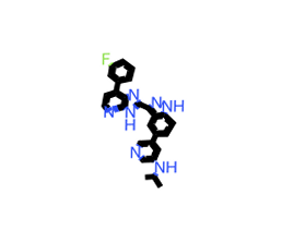 CC(C)Nc1cncc(-c2ccc3[nH]nc(-c4nc5c(-c6cccc(F)c6)ccnc5[nH]4)c3c2)c1